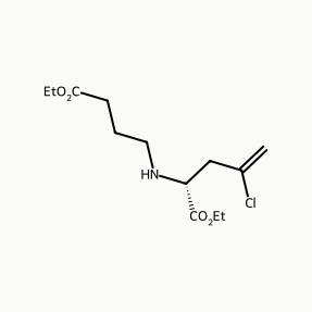 C=C(Cl)C[C@@H](NCCCC(=O)OCC)C(=O)OCC